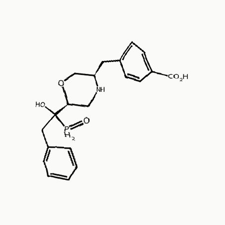 O=[PH2]C(O)(Cc1ccccc1)[C@@H]1CN[C@H](Cc2ccc(C(=O)O)cc2)CO1